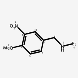 [CH2]CNCc1ccc(OC)c([N+](=O)[O-])c1